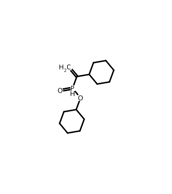 C=C(C1CCCCC1)[PH](=O)OC1CCCCC1